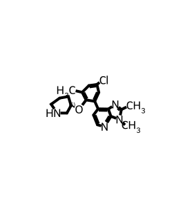 Cc1cc(Cl)cc(-c2ccnc3c2nc(C)n3C)c1O[C@H]1CCCNC1